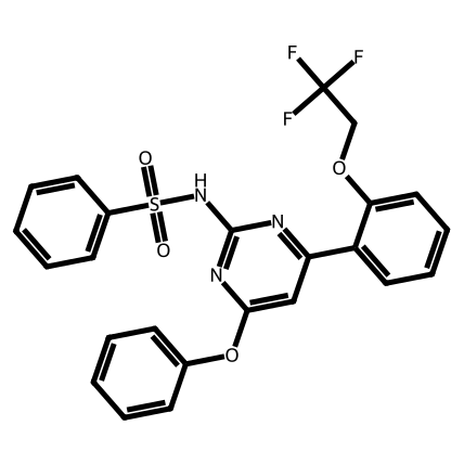 O=S(=O)(Nc1nc(Oc2ccccc2)cc(-c2ccccc2OCC(F)(F)F)n1)c1ccccc1